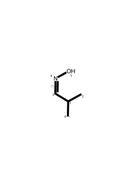 [CH2]C(C)/C=N\O